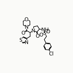 O=C(C(Cc1cscn1)N1CCC(NS(=O)(=O)CCc2ccc(Cl)cc2)C1=O)N1CCOCC1